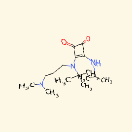 CC(C)Nc1c(N(CCCN(C)C)C(C)(C)C)c(=O)c1=O